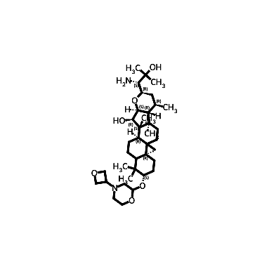 C[C@@H]1C[C@H]([C@H](N)C(C)(C)O)O[C@H]2[C@H]1[C@@]1(C)CCC34C[C@@]35CC[C@H](OC3CN(C6COC6)CCO3)C(C)(C)C5CC[C@H]4[C@]1(C)[C@H]2O